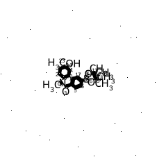 CN(C(=O)c1ccc(B2OC(C)(C)C(C)(C)O2)cc1)[C@H]1CC[C@](C)(O)CC1